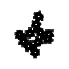 c1ccc(-c2ccc3c(c2)c2cc4c(cc2n3-c2ccc(-n3c5ccccc5c5ccccc53)cc2)N(c2ccc(-n3c5ccccc5c5ccccc53)cc2)c2cccc3cccc-4c23)cc1